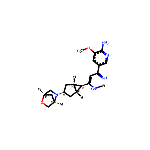 CC(C)N/C(=C\C(=N)c1cnc(N)c(OC(F)(F)F)c1)[C@H]1[C@@H]2C[C@H](N3C[C@H]4C[C@@H]3CO4)C[C@@H]21